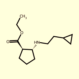 CCOC(=O)[C@@H]1CCC[C@H]1NCCC1CC1